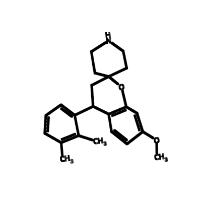 COc1ccc2c(c1)OC1(CCNCC1)CC2c1cccc(C)c1C